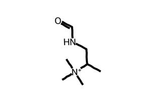 CC(CNC=O)[N+](C)(C)C